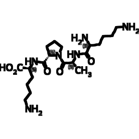 C[C@H](NC(=O)[C@@H](N)CCCCN)C(=O)N1CCC[C@H]1C(=O)N[C@@H](CCCCN)C(=O)O